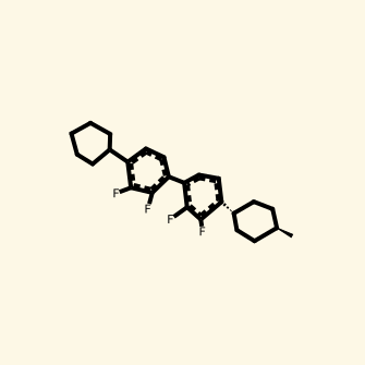 C[C@H]1CC[C@H](c2ccc(-c3ccc(C4CCCCC4)c(F)c3F)c(F)c2F)CC1